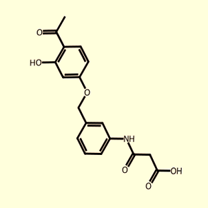 CC(=O)c1ccc(OCc2cccc(NC(=O)CC(=O)O)c2)cc1O